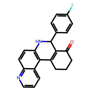 O=C1CCCC2=C1C(c1ccc(F)cc1)Nc1ccc3ncccc3c12